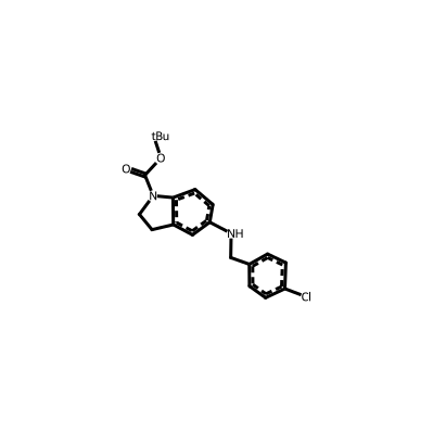 CC(C)(C)OC(=O)N1CCc2cc(NCc3ccc(Cl)cc3)ccc21